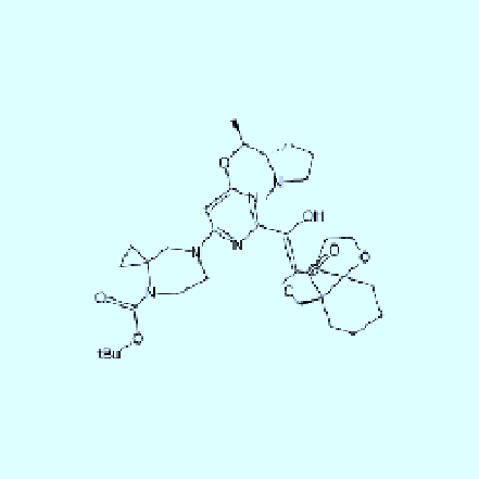 C[C@H](Oc1cc(N2CCN(C(=O)OC(C)(C)C)C3(CC3)C2)nc(/C(O)=C2\CCC[C@@]3(CCCCC34OCCO4)C2=O)n1)[C@@H]1CCCN1C